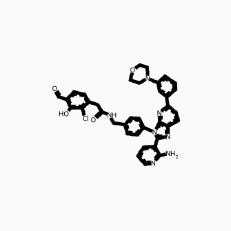 Nc1ncccc1-c1nc2ccc(-c3cccc(N4CCOCC4)c3)nc2n1-c1ccc(CNC(=O)Cc2ccc(C=O)c(O)c2Cl)cc1